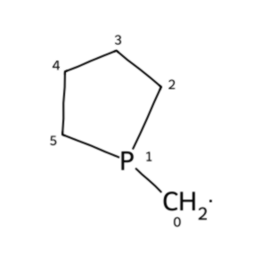 [CH2]P1CCCC1